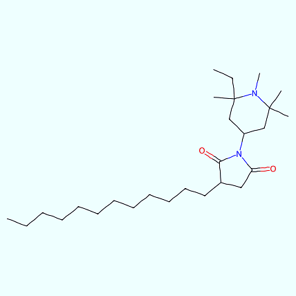 CCCCCCCCCCCCC1CC(=O)N(C2CC(C)(C)N(C)C(C)(CC)C2)C1=O